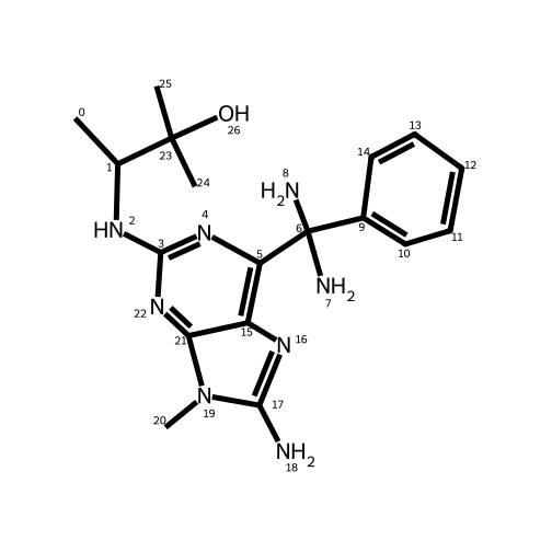 CC(Nc1nc(C(N)(N)c2ccccc2)c2nc(N)n(C)c2n1)C(C)(C)O